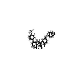 COc1ccc(-c2ccnc3[nH]c(-c4cccc(CN5CCOCC5)c4)nc23)cc1.Cl